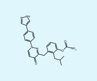 CC(C)Cc1c(Cc2nn(-c3ccc(-c4cn[nH]c4)cc3)ccc2=O)cccc1OC(N)=O